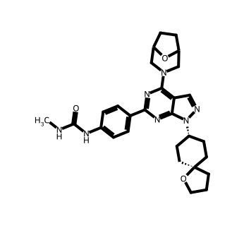 CNC(=O)Nc1ccc(-c2nc(N3CC4CCC(C3)O4)c3cnn([C@H]4CC[C@@]5(CCCO5)CC4)c3n2)cc1